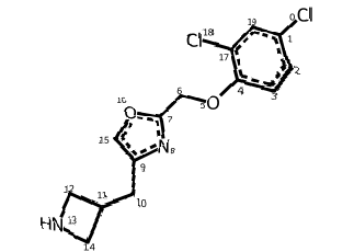 Clc1ccc(OCc2nc(CC3CNC3)co2)c(Cl)c1